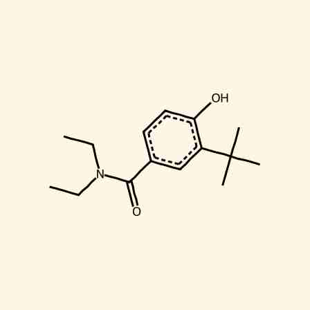 CCN(CC)C(=O)c1ccc(O)c(C(C)(C)C)c1